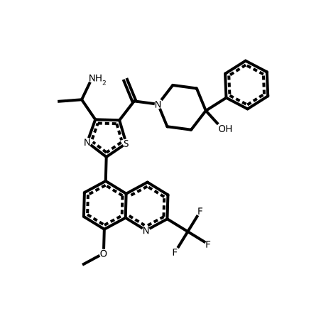 C=C(c1sc(-c2ccc(OC)c3nc(C(F)(F)F)ccc23)nc1C(C)N)N1CCC(O)(c2ccccc2)CC1